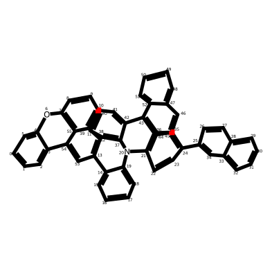 c1ccc2c(c1)Oc1cccc3cc(-c4ccccc4N(c4ccc(-c5ccc6ccccc6c5)cc4)c4ccccc4-c4cccc5ccccc45)cc-2c13